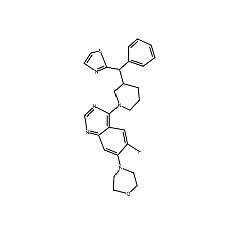 Fc1cc2c(N3CCCC(C(c4ccccc4)c4nccs4)C3)ncnc2cc1N1CCOCC1